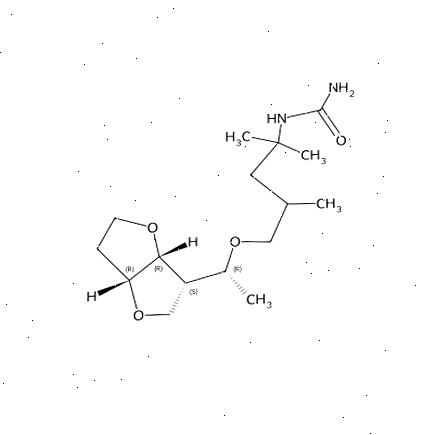 CC(CO[C@H](C)[C@@H]1CO[C@@H]2CCO[C@H]12)CC(C)(C)NC(N)=O